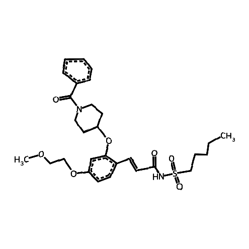 CCCCCS(=O)(=O)NC(=O)C=Cc1ccc(OCCOC)cc1OC1CCN(C(=O)c2ccccc2)CC1